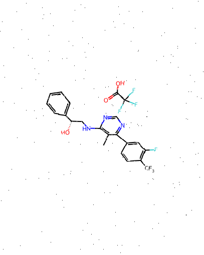 Cc1c(NC[C@H](O)c2ccccc2)ncnc1-c1ccc(C(F)(F)F)c(F)c1.O=C(O)C(F)(F)F